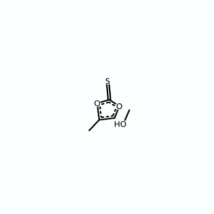 CO.Cc1coc(=S)o1